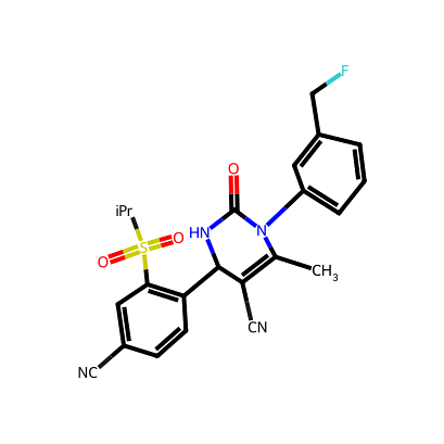 CC1=C(C#N)C(c2ccc(C#N)cc2S(=O)(=O)C(C)C)NC(=O)N1c1cccc(CF)c1